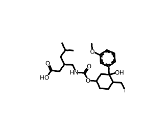 COc1cccc(C2(O)CC(OC(=O)NCC(CC(=O)O)CC(C)C)CCC2CI)c1